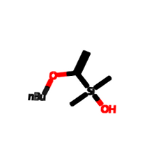 C=C(OCCCC)[Si](C)(C)O